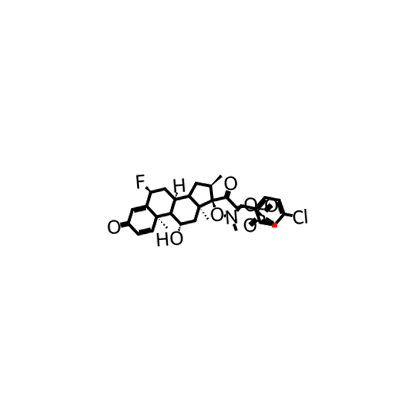 C[C@@H]1CC2[C@@H]3C[C@H](F)C4=CC(=O)C=C[C@]4(C)C3[C@@H](O)C[C@]2(C)[C@@]1(ON(C)Cc1ccc(Cl)cc1)C(=O)COS(C)(=O)=O